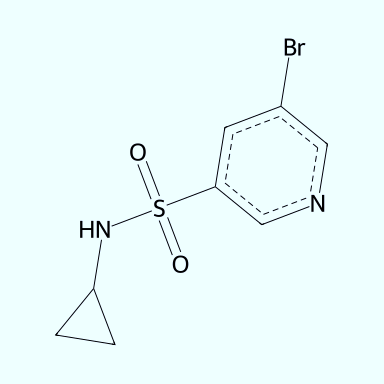 O=S(=O)(NC1CC1)c1cncc(Br)c1